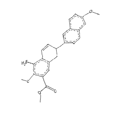 Bc1c2c(cc(C(=O)OC)c1OC)CC(c1ccc3cc(OC)ccc3c1)C=C2